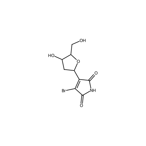 O=C1NC(=O)C(C2CC(O)C(CO)O2)=C1Br